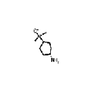 C[N+](C)([O-])[C@H]1CC[C@H](N)CC1